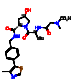 Cc1ncsc1-c1ccc(CNC(=O)[C@@H]2C[C@@H](O)CN2C(=O)[C@@H](NC(=O)CN(C)C(=O)O)C(C)(C)C)cc1